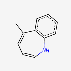 CC1=CC=CNc2ccccc21